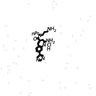 CCCN(CCCN)C(=O)C1=Cc2ccc(-c3cncnc3)cc2N=C(N)C1.Cl